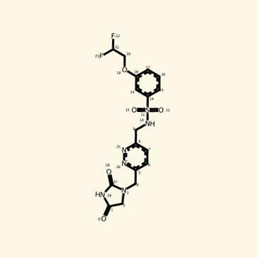 O=C1CN(Cc2ccc(CNS(=O)(=O)c3cccc(OCC(F)F)c3)nn2)C(=O)N1